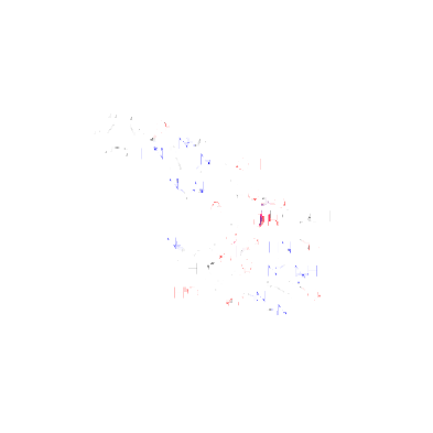 CC(C)C(=O)Nc1nc2c(ncn2C2OC(CO)C(C)C2OP(=O)(OCCC#N)OCC2OC(n3cnc4c(NC(=O)c5ccccc5)ncnc43)C(CO)C2O[PH](=O)O)c(=O)[nH]1